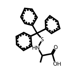 CC(NSC(c1ccccc1)(c1ccccc1)c1ccccc1)C(=O)O